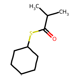 CC(C)C(=O)SC1CC[CH]CC1